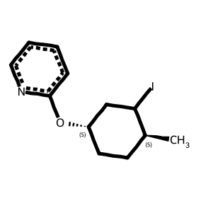 C[C@H]1CC[C@H](Oc2ccccn2)CC1I